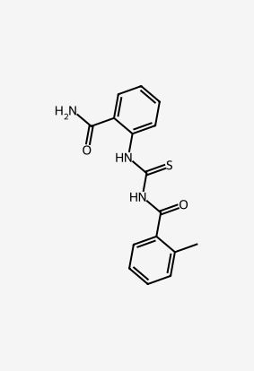 Cc1ccccc1C(=O)NC(=S)Nc1ccccc1C(N)=O